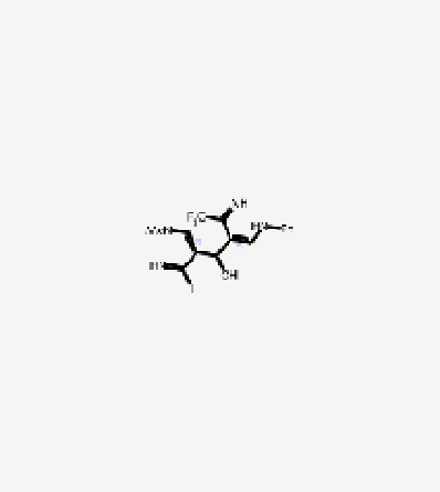 CCN/C=C(\C(=N)C(F)(F)F)C(O)/C(=C/NC)C(=N)I